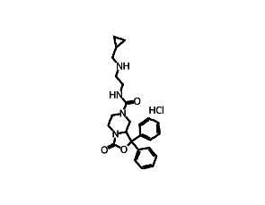 Cl.O=C(NCCNCC1CC1)N1CCN2C(=O)OC(c3ccccc3)(c3ccccc3)C2C1